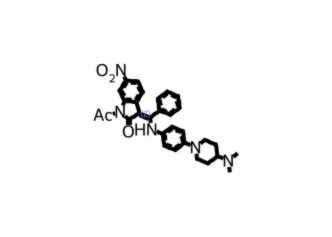 CC(=O)N1C(=O)/C(=C(\Nc2ccc(N3CCC(N(C)C)CC3)cc2)c2ccccc2)c2ccc([N+](=O)[O-])cc21